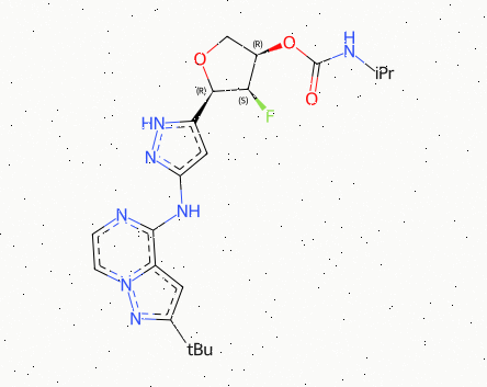 CC(C)NC(=O)O[C@@H]1CO[C@H](c2cc(Nc3nccn4nc(C(C)(C)C)cc34)n[nH]2)[C@@H]1F